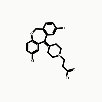 CC(C)C(=O)CCN1CCC(=C2c3cc(Cl)ccc3COc3ccc(Cl)cc32)CC1